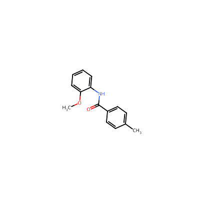 COc1ccccc1NC(=O)c1ccc(C)cc1